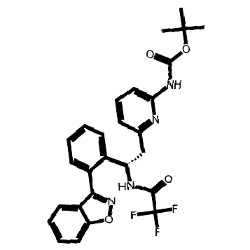 CC(C)(C)OC(=O)Nc1cccc(C[C@H](NC(=O)C(F)(F)F)c2ccccc2-c2noc3ccccc23)n1